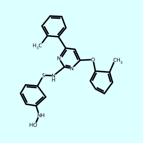 Cc1ccccc1Oc1cc(-c2ccccc2C)nc(NSc2cccc(NO)c2)n1